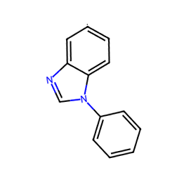 [c]1ccc2c(c1)ncn2-c1ccccc1